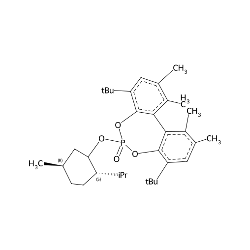 Cc1cc(C(C)(C)C)c2c(c1C)-c1c(C)c(C)cc(C(C)(C)C)c1OP(=O)(OC1C[C@H](C)CC[C@H]1C(C)C)O2